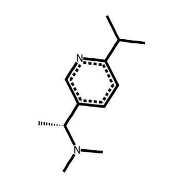 CC(C)c1ccc([C@@H](C)N(C)C)cn1